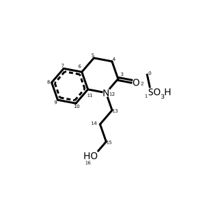 CS(=O)(=O)O.O=C1CCc2ccccc2N1CCCO